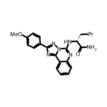 COc1ccc(-c2nc3c4ccccc4nc(N[C@H](CC(C)C)C(N)=O)n3n2)cc1